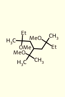 CCC(C)(CC(CC(C)(CC)OC)C(C)(C)OC)OC